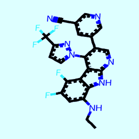 CCNc1cc(F)c(F)c2c1[nH]c1ncc(-c3cncc(C#N)c3)c(-n3ccc(C(F)(F)F)n3)c12